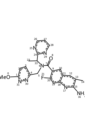 COc1ccc(CN(C(=O)c2cc3cc(C)c(N)nc3cc2F)C(C)c2ncccn2)nn1